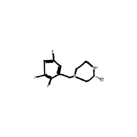 CC[C@@H]1CN(Cc2cc(F)cc(F)c2F)CCN1